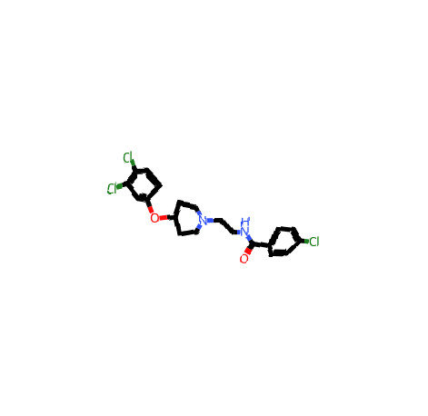 O=C(NCCN1CCC(Oc2ccc(Cl)c(Cl)c2)CC1)c1ccc(Cl)cc1